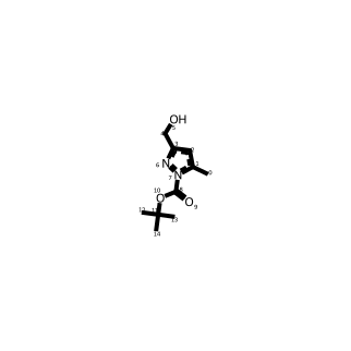 Cc1cc(CO)nn1C(=O)OC(C)(C)C